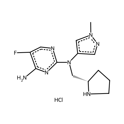 Cl.Cn1cc(N(C[C@@H]2CCCN2)c2ncc(F)c(N)n2)cn1